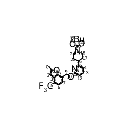 Cc1cc2c(C(F)(F)F)ccc(COc3cccc(C4CCN(C(=O)OC(C)(C)C)CC4)n3)c2o1